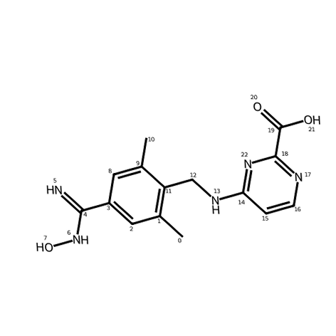 Cc1cc(C(=N)NO)cc(C)c1CNc1ccnc(C(=O)O)n1